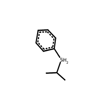 CC(C)[SiH2]c1ccccc1